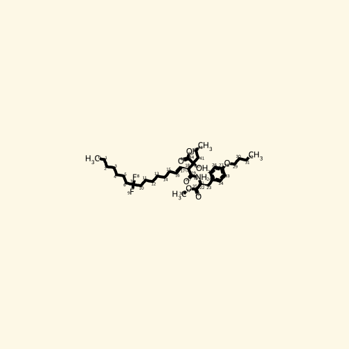 CCCCCCCC(F)(F)CCCCCCC=C[C@H](C(=O)N[C@@H](Cc1ccc(OCCCC)cc1)C(=O)OC)[C@@](O)(CCC)C(=O)O